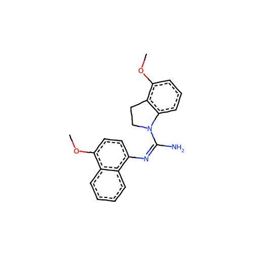 COc1cccc2c1CCN2C(N)=Nc1ccc(OC)c2ccccc12